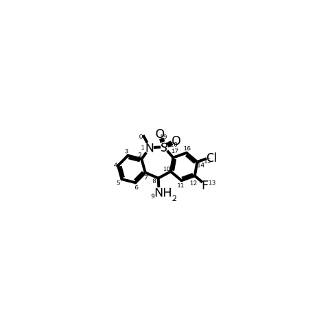 CN1c2ccccc2C(N)c2cc(F)c(Cl)cc2S1(=O)=O